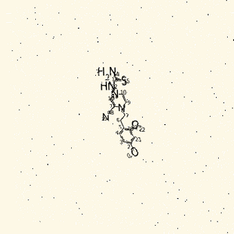 COc1ccc(CCN2C=CN(NC(N)=S)C=C2C#N)c(OC)c1